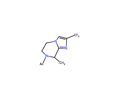 CC(=O)N1CCn2cc(C(F)(F)F)nc2C1C